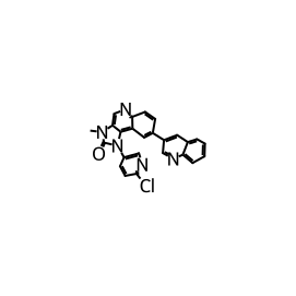 Cn1c(=O)n(-c2ccc(Cl)nc2)c2c3cc(-c4cnc5ccccc5c4)ccc3ncc21